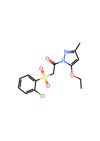 CCOc1cc(C)nn1C(=O)CS(=O)(=O)c1ccccc1Cl